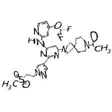 CC(=O)N1CCC2(CC1)CN(c1cc(Nc3cc(OC(F)F)ccn3)nc(-c3cnn(CCS(C)(=O)=O)c3)n1)C2